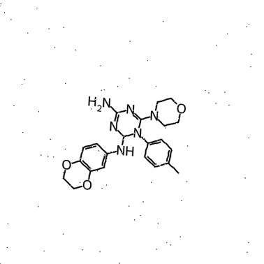 Cc1ccc(N2C(N3CCOCC3)=NC(N)=NC2Nc2ccc3c(c2)OCCO3)cc1